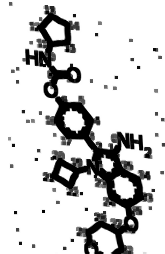 Nc1c(-c2ccc(OC(=O)NC3CCCC3)cc2)n(C2CCC2)c2cc(OC3CCOCC3)ccc12